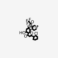 CN1CC[C@H](c2c(O)cc(O)c3c(=O)cc(-c4ccccc4Cl)oc23)[C@H](OC(=O)C(F)(F)F)C1